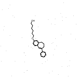 OCCCCCCOc1ccc2c(c1)CCCC(c1ccccc1)=C2